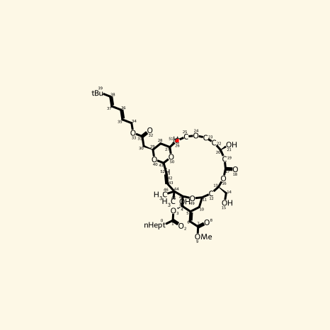 CCCCCCCC(=O)O[C@H]1/C(=C/C(=O)OC)CC2C[C@H](CO)OC(=O)C[C@H](O)CCOCC[C@@H]3C[C@H](CC(=O)OC/C=C/C=C/C(C)(C)C)O[C@H](/C=C/C(C)(C)[C@]1(O)O2)O3